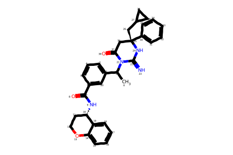 CC(c1cccc(C(=O)N[C@H]2CCOc3ccccc32)c1)N1C(=N)N[C@@](CC2CC2)(c2ccccc2)CC1=O